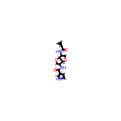 O=C(NC1COC2C(NC(=O)C3CC3)COC12)c1cc[nH]c1